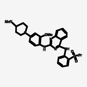 CNC1CCN(c2ccc(Nc3nc(Nc4ccccc4S(=O)(=O)C(C)C)c4ccccc4n3)c(OC)c2)CC1